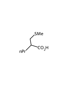 CCCC(CSC)C(=O)O